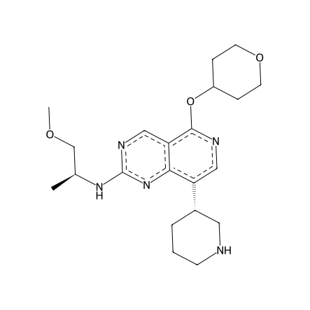 COC[C@H](C)Nc1ncc2c(OC3CCOCC3)ncc([C@H]3CCCNC3)c2n1